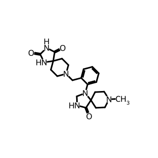 CN1CCC2(CC1)C(=O)NCN2c1ccccc1CN1CCC2(CC1)NC(=O)NC2=O